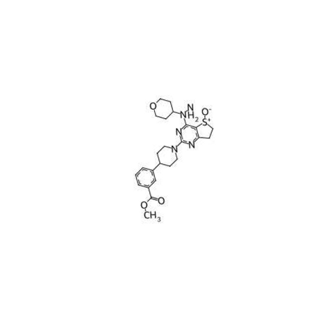 COC(=O)c1cccc(C2CCN(c3nc4c(c(N(N)C5CCOCC5)n3)[S+]([O-])CC4)CC2)c1